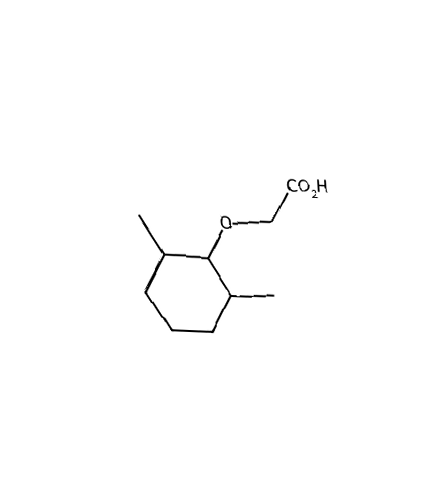 CC1CCCC(C)C1OCC(=O)O